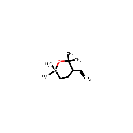 C=CC1CC[Si](C)(C)OC1(C)C